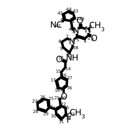 Cn1c(=O)cc(N2CCCC(NC(=O)CCc3ccc(OCC4=C(c5ccccc5)C=C[C@](C)(F)C4)cc3)C2)n(Cc2ccccc2C#N)c1=O